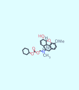 CCC[C@]12c3c4ccc(OC)c3O[C@H]1[C@@H](O)C=C[C@H]2C(N(C)COC(=O)OC1CCCCC1)C4